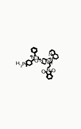 CN(C(=O)C1CCC(C)(P)CC1)[C@@H](CCN1CCN[C@@H](CN(CCCCN2C(=O)c3ccccc3C2=O)[C@H]2CCCc3cccnc32)C1)c1ccccc1